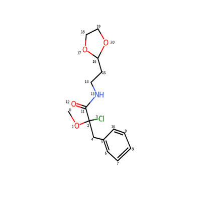 COC(Cl)(Cc1ccccc1)C(=O)NCCC1OCCO1